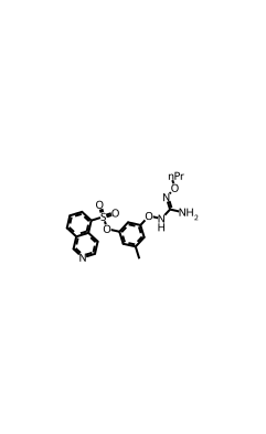 CCCON=C(N)NOc1cc(C)cc(OS(=O)(=O)c2cccc3cnccc23)c1